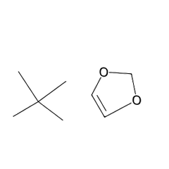 C1=COCO1.CC(C)(C)C